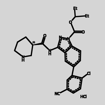 CCC(CC)OC(=O)n1nc(NC(=O)[C@@H]2CCCNC2)c2cc(-c3cc(C#N)ccc3Cl)ccc21.Cl